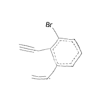 C#Cc1c(Br)cccc1[C]=C